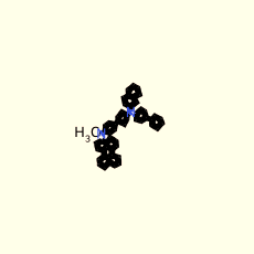 CN(c1ccc(-c2ccc(N(c3ccc(-c4ccccc4)cc3)c3ccc4ccccc4c3)cc2)cc1)c1ccc2c3cccc4cccc(c5cccc1c52)c43